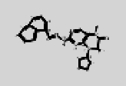 CCC1C(=O)N(C)c2cnc(NN=Cc3cccc4ccccc34)nc2N1C1CCCC1